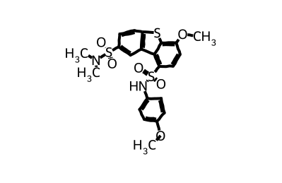 COc1ccc(NS(=O)(=O)c2ccc(OC)c3sc4ccc(S(=O)(=O)N(C)C)cc4c23)cc1